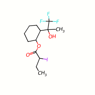 CCC(I)C(=O)OC1CCCCC1C(C)(O)C(F)(F)F